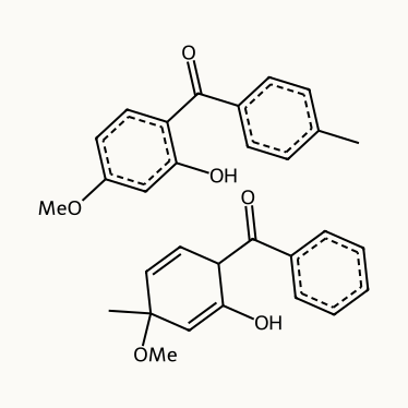 COC1(C)C=CC(C(=O)c2ccccc2)C(O)=C1.COc1ccc(C(=O)c2ccc(C)cc2)c(O)c1